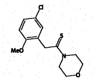 COc1ccc(Cl)cc1CC(=S)N1CCOCC1